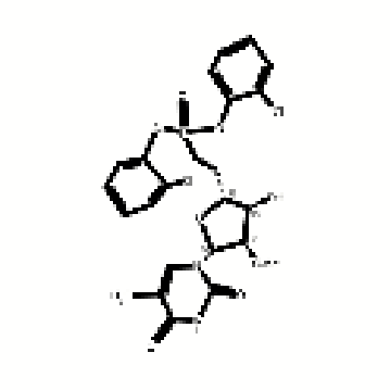 CO[C@@H]1[C@H](O)[C@@H](CCP(=O)(Oc2ccccc2Cl)Oc2ccccc2Cl)O[C@H]1n1cc(C)c(=O)[nH]c1=O